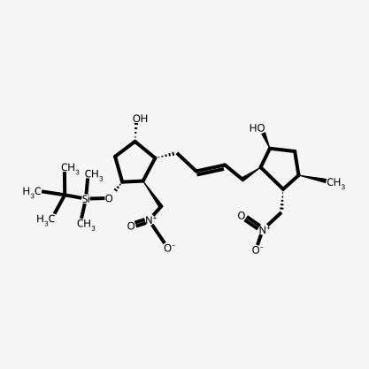 C[C@@H]1C[C@H](O)[C@H](C/C=C/C[C@@H]2[C@@H](C[N+](=O)[O-])[C@H](O[Si](C)(C)C(C)(C)C)C[C@@H]2O)[C@H]1C[N+](=O)[O-]